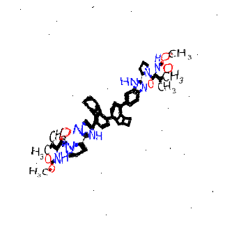 COC(=O)N[C@H](C(=O)N1CCC[C@H]1c1ncc(-c2ccc(-c3ccc(-c4ccc5nc([C@@H]6CCCN6C(=O)[C@@H](NC(=O)OC)C(C)C)[nH]c5c4)c4c3CC3CCC43)c3c2C2CCC3C2)[nH]1)C(C)C